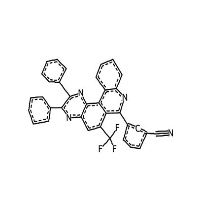 N#Cc1cccc(-c2nc3ccccc3c3c2c(C(F)(F)F)cc2nc(-c4ccccc4)c(-c4ccccc4)nc23)c1